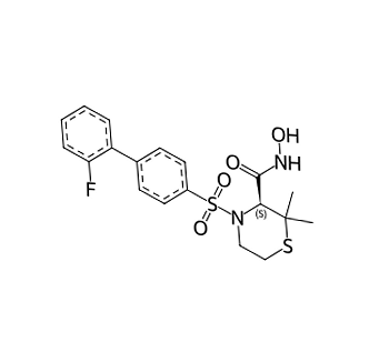 CC1(C)SCCN(S(=O)(=O)c2ccc(-c3ccccc3F)cc2)[C@H]1C(=O)NO